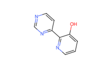 Oc1cccnc1-c1ccncn1